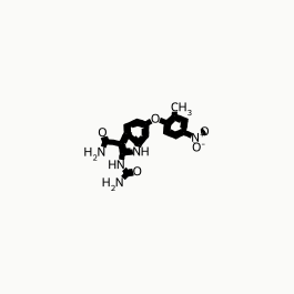 Cc1cc([N+](=O)[O-])ccc1Oc1ccc2c(C(N)=O)c(NC(N)=O)[nH]c2c1